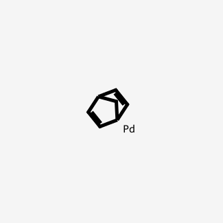 C1=CC2C=CC1C2.[Pd]